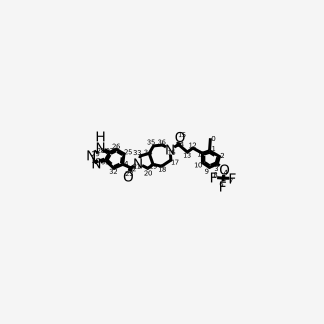 Cc1cc(OC(F)(F)F)ccc1CCC(=O)N1CCC2CN(C(=O)c3ccc4[nH]nnc4c3)CC2CC1